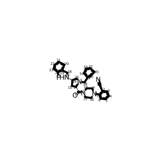 N#Cc1ccccc1N1CCN(C(=O)[C@@H]2C[C@H](NCc3ccccc3F)CN2Cc2ccccc2)CC1